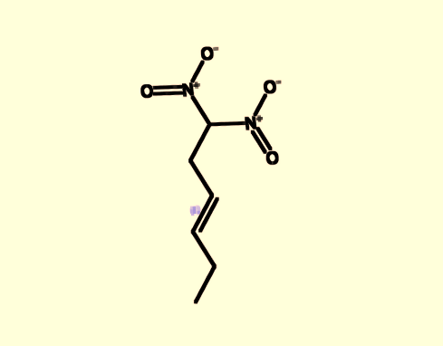 CC/C=C/CC([N+](=O)[O-])[N+](=O)[O-]